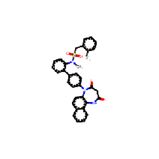 CN(c1ccccc1-c1ccc(N2C(=O)CC(=O)Nc3c2ccc2ccccc32)cc1)S(=O)(=O)Cc1ccccc1C(F)(F)F